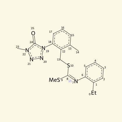 CCc1ccccc1/N=C(/SC)SCc1c(C)cccc1-n1nnn(C)c1=O